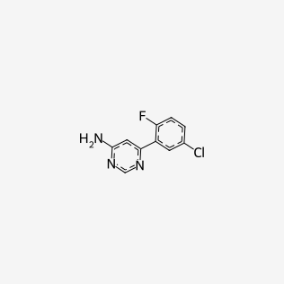 Nc1cc(-c2cc(Cl)ccc2F)ncn1